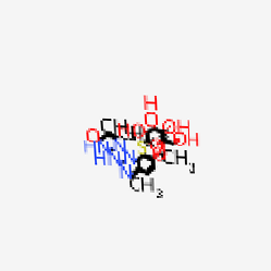 COc1ccc2c(C)nc(Nc3nc(C)c(C)c(=O)[nH]3)nc2c1S[C@@H]1OC(CO)[C@@H](O)C(O)C1O